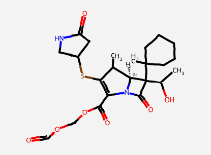 CC1C(SC2CNC(=O)C2)=C(C(=O)OCOC=O)N2C(=O)C(C(C)O)(C3(C)CCCCC3)[C@H]12